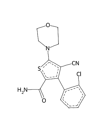 N#Cc1c(N2CCOCC2)sc(C(N)=O)c1-c1ccccc1Cl